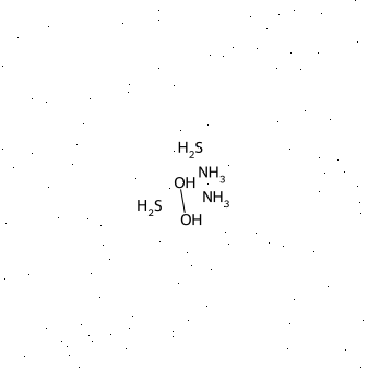 N.N.OO.S.S